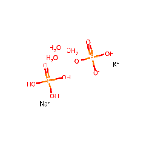 O.O.O.O=P(O)(O)O.O=P([O-])([O-])O.[K+].[Na+]